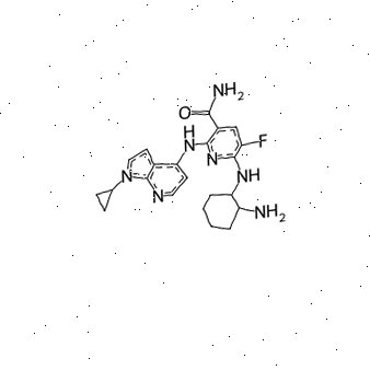 NC(=O)c1cc(F)c(NC2CCCCC2N)nc1Nc1ccnc2c1ccn2C1CC1